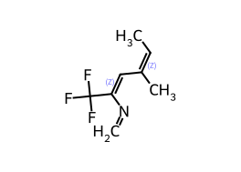 C=N/C(=C\C(C)=C/C)C(F)(F)F